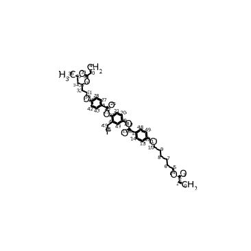 C=CC(=O)OCCCCCCOc1ccc(C(=O)Oc2ccc(OC(=O)c3ccc(OCCC(CCC)OC(=O)C=C)cc3)c(CF)c2)cc1